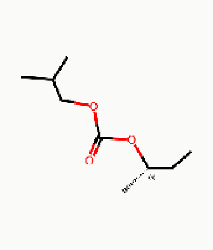 CC[C@H](C)OC(=O)OCC(C)C